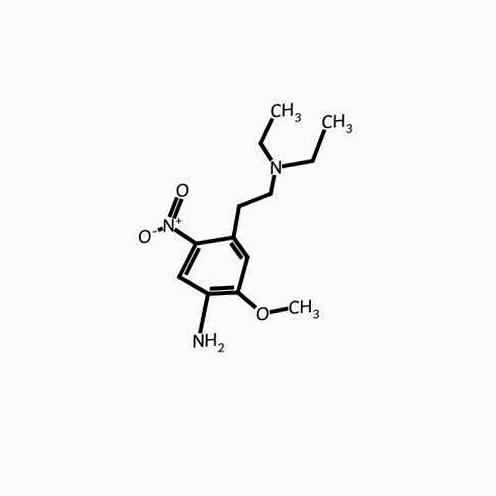 CCN(CC)CCc1cc(OC)c(N)cc1[N+](=O)[O-]